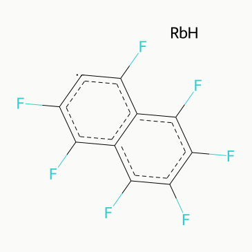 Fc1[c]c(F)c2c(F)c(F)c(F)c(F)c2c1F.[RbH]